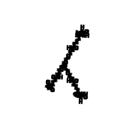 O=C(CCCCC1SCC2NC(=O)NC21)NCCCOCCOCC(COCCCNC(=O)CCCN1C(=O)C=CC1=O)OCCOCCCNC(=O)CCCCC1SCC2NC(=O)NC21